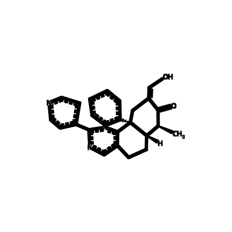 C[C@@H]1C(=O)C(=CO)C[C@]2(c3ccccc3)c3nc(-c4ccncc4)ncc3CC[C@@H]12